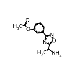 CC(=O)Oc1cccc(-c2noc(C(C)N)n2)c1